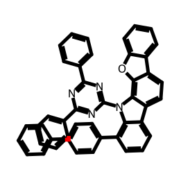 c1ccc(-c2ccc(-c3cccc4c5ccc6c7ccccc7oc6c5n(-c5nc(-c6ccccc6)nc(-c6ccccc6)n5)c34)cc2)cc1